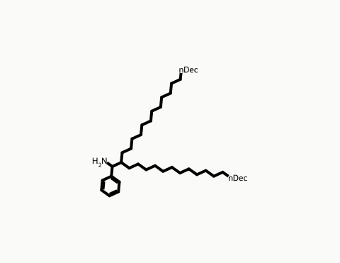 CCCCCCCCCCCCCCCCCCCCCCC(CCCCCCCCCCCCCCCCCCCCCC)C(N)c1ccccc1